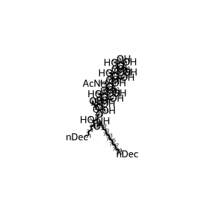 CCCCCCCCCCCCC/C=C/[C@@H](O)[C@H](CO[C@@H]1OC(CO)[C@@H](O[C@@H]2OC(CO)[C@H](O)[C@H](O[C@@H]3OC(CO)[C@@H](O)[C@H](O[C@@H]4OC(CO)[C@H](O)[C@H](O[C@@H]5OC(CO)[C@H](O)[C@H](O)C5O)C4O)C3NC(C)=O)C2O)[C@H](O)C1O)NC(=O)CCCCCCCCCCCCCCCCCCCCC